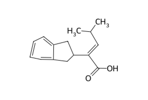 CC(C)/C=C(/C(=O)O)C1Cc2ccccc2C1